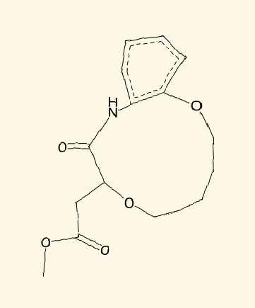 COC(=O)CC1OCCCCOc2ccccc2NC1=O